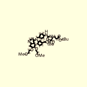 C#Cc1cccc(N(Cc2ccc(NC(=O)N[C@@H](CCC(=O)OC(C)(C)C)C(=O)OC(C)(C)C)cc2)c2ncnc3cc(OCCOC)c(OCCOC)cc23)c1